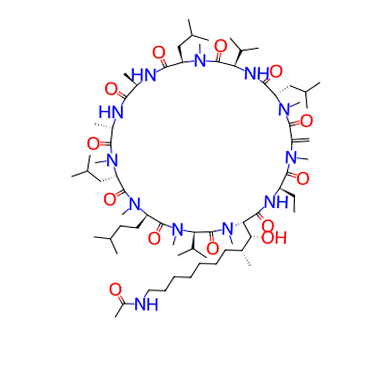 C=C1C(=O)N(C)[C@@H](CC(C)C)C(=O)N[C@H](C(C)C)C(=O)N(C)[C@H](CC(C)C)C(=O)N[C@H](C)C(=O)N[C@@H](C)C(=O)N(C)[C@@H](CC(C)C)C(=O)N(C)[C@H](CCC(C)C)C(=O)N(C)[C@H](C(C)C)C(=O)N(C)[C@@H]([C@H](O)[C@H](C)CCCCCCCNC(C)=O)C(=O)N[C@H](CC)C(=O)N1C